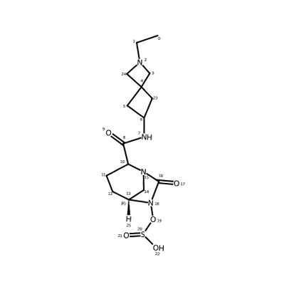 CCN1CC2(CC(NC(=O)C3CC[C@@H]4CN3C(=O)N4OS(=O)O)C2)C1